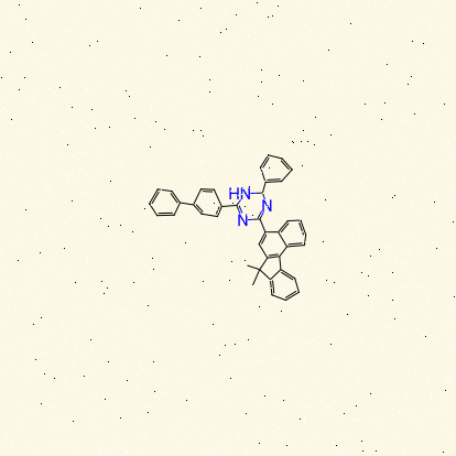 CC1(C)c2ccccc2-c2c1cc(C1=NC(c3ccccc3)NC(c3ccc(-c4ccccc4)cc3)=N1)c1ccccc21